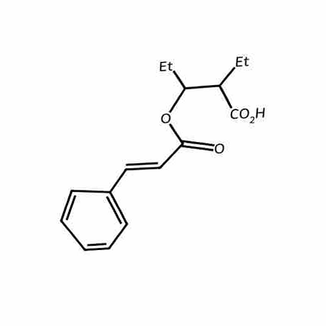 CCC(OC(=O)C=Cc1ccccc1)C(CC)C(=O)O